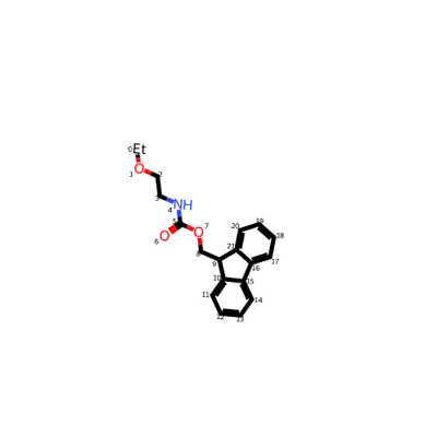 [CH2]COCCNC(=O)OCC1c2ccccc2-c2ccccc21